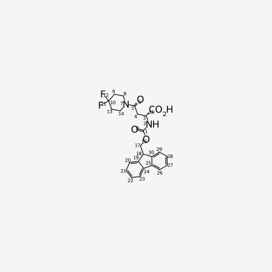 O=C(N[C@@H](CC(=O)N1CCC(F)(F)CC1)C(=O)O)OCC1c2ccccc2-c2ccccc21